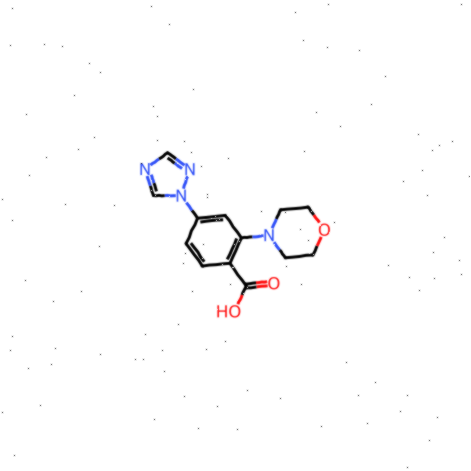 O=C(O)c1ccc(-n2cncn2)cc1N1CCOCC1